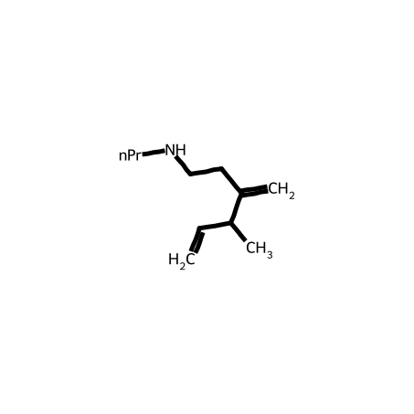 C=CC(C)C(=C)CCNCCC